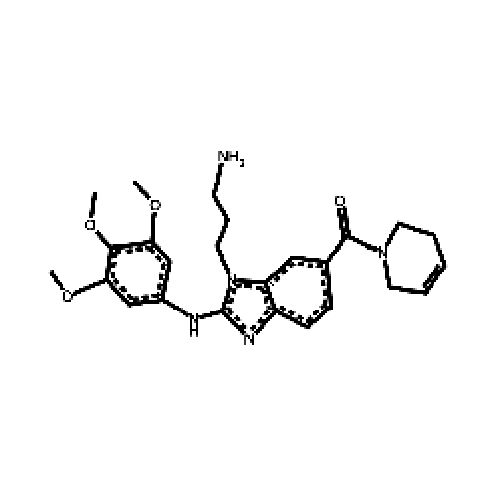 COc1cc(Nc2nc3ccc(C(=O)N4CC=CCC4)cc3n2CCCN)cc(OC)c1OC